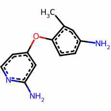 Cc1cc(N)ccc1Oc1ccnc(N)c1